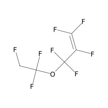 FCC(F)(F)OC(F)(F)C(F)=C(F)F